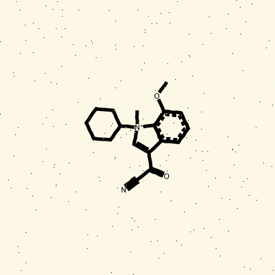 COc1cccc2c1[N+](C)(C1CCCCC1)C=C2C(=O)C#N